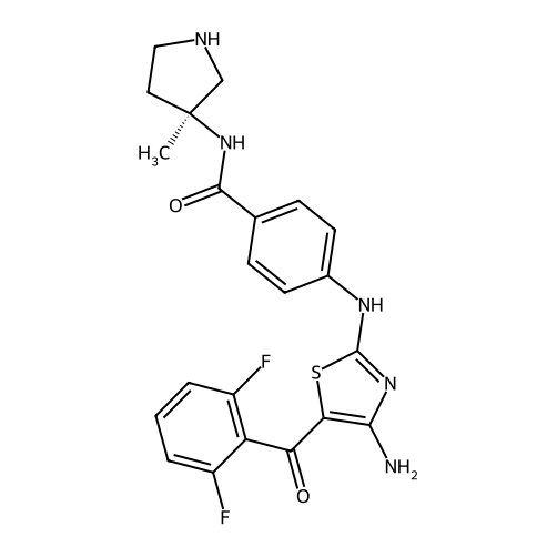 C[C@]1(NC(=O)c2ccc(Nc3nc(N)c(C(=O)c4c(F)cccc4F)s3)cc2)CCNC1